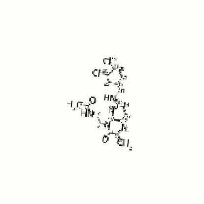 CC(=O)NCCn1c(=O)c(C)nc2ccc(NCc3ccc(Cl)c(Cl)c3)nc21